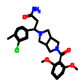 COc1cccc(OC)c1C(=O)N1CC2CN(C(CC(N)=O)c3ccc(C)c(Cl)c3)CC2C1